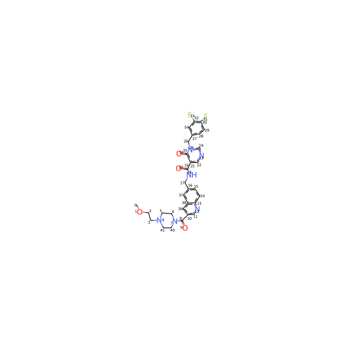 COCCN1CCN(C(=O)c2cnc3ccc(CNC(=O)c4cncn(Cc5ccc(F)c(F)c5)c4=O)cc3c2)CC1